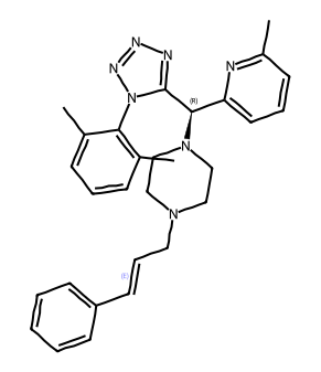 Cc1cccc([C@H](c2nnnn2-c2c(C)cccc2C)N2CCN(C/C=C/c3ccccc3)CC2)n1